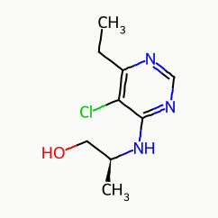 CCc1ncnc(N[C@@H](C)CO)c1Cl